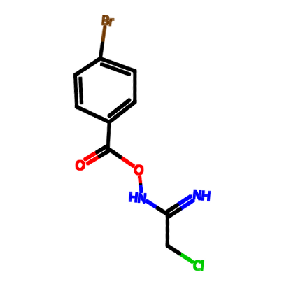 N=C(CCl)NOC(=O)c1ccc(Br)cc1